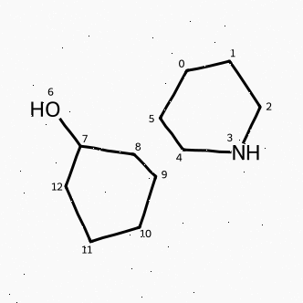 C1CCNCC1.OC1CCCCC1